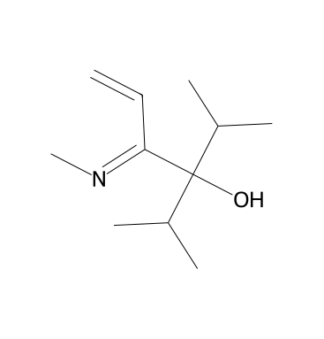 C=CC(=NC)C(O)(C(C)C)C(C)C